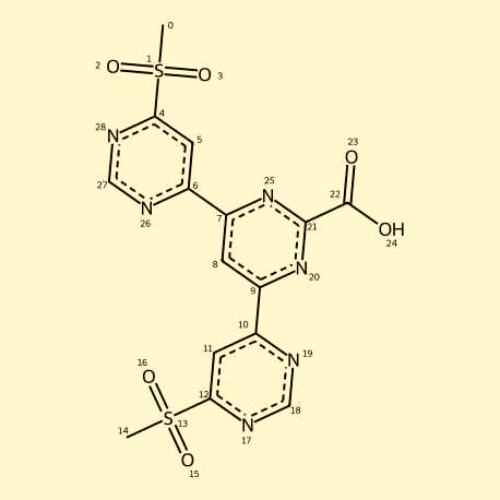 CS(=O)(=O)c1cc(-c2cc(-c3cc(S(C)(=O)=O)ncn3)nc(C(=O)O)n2)ncn1